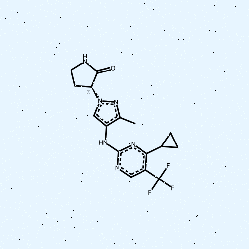 Cc1nn([C@H]2CCNC2=O)cc1Nc1ncc(C(F)(F)F)c(C2CC2)n1